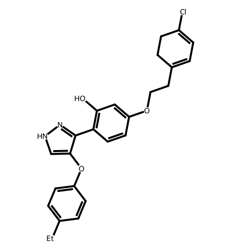 CCc1ccc(Oc2c[nH]nc2-c2ccc(OCCC3=CC=C(Cl)CC3)cc2O)cc1